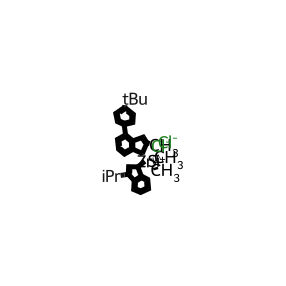 CC1=Cc2c(-c3ccc(C(C)(C)C)cc3)cccc2[CH]1[Zr+2]([CH]1C=C(C(C)C)c2ccccc21)=[Si](C)C.[Cl-].[Cl-]